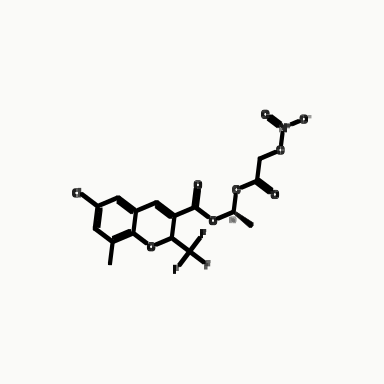 Cc1cc(Cl)cc2c1OC(C(F)(F)F)C(C(=O)O[C@H](C)OC(=O)CO[N+](=O)[O-])=C2